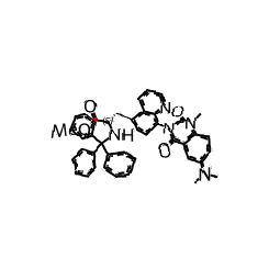 COC(=O)[C@H](Cc1ccc(-n2c(=O)c3cc(N(C)C)ccc3n(C)c2=O)c2ncccc12)NC(c1ccccc1)(c1ccccc1)c1ccccc1